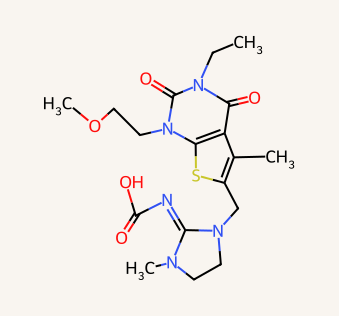 CCn1c(=O)c2c(C)c(CN3CCN(C)C3=NC(=O)O)sc2n(CCOC)c1=O